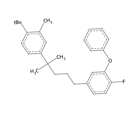 Cc1cc(C(C)(C)CCCc2ccc(F)c(Oc3ccccc3)c2)ccc1C(C)(C)C